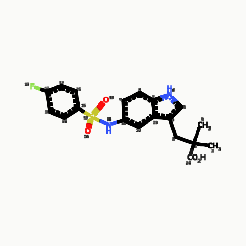 CC(C)(Cc1c[nH]c2ccc(NS(=O)(=O)c3ccc(F)cc3)cc12)C(=O)O